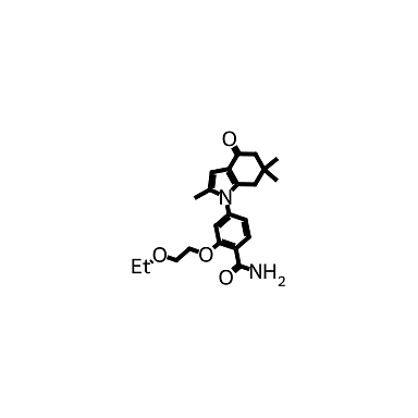 CCOCCOc1cc(-n2c(C)cc3c2CC(C)(C)CC3=O)ccc1C(N)=O